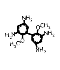 COc1c(N)cc(N)cc1-c1cc(N)cc(N)c1OC